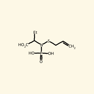 C=CCSN(C(CC)C(=O)O)P(=O)(O)O